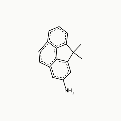 CC1(C)c2cccc3ccc4cc(N)cc1c4c23